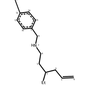 C=CCC(CC)CCNCc1ccc(C)cc1